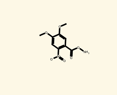 COc1cc(C(=O)ON)c([N+](=O)[O-])cc1OC